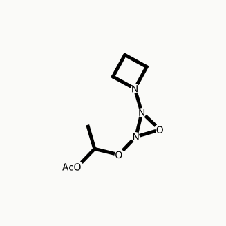 CC(=O)OC(C)On1on1N1CCC1